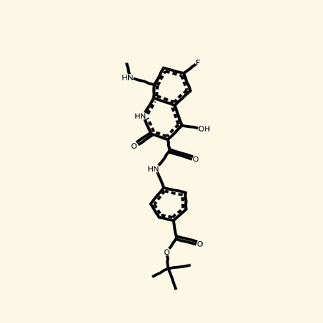 CNc1cc(F)cc2c(O)c(C(=O)Nc3ccc(C(=O)OC(C)(C)C)cc3)c(=O)[nH]c12